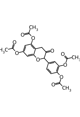 CC(=O)Oc1cc(OC(C)=O)c2c(c1)OC(c1ccc(OC(C)=O)c(OC(C)=O)c1)C(=O)C2